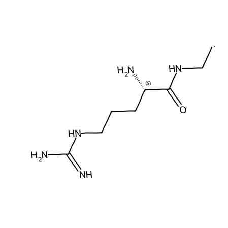 [CH2]CNC(=O)[C@@H](N)CCCNC(=N)N